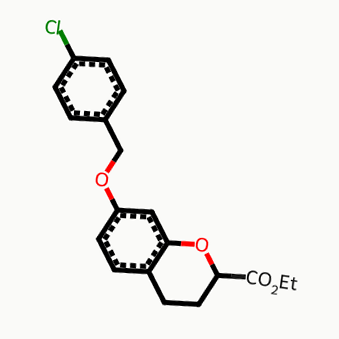 CCOC(=O)C1CCc2ccc(OCc3ccc(Cl)cc3)cc2O1